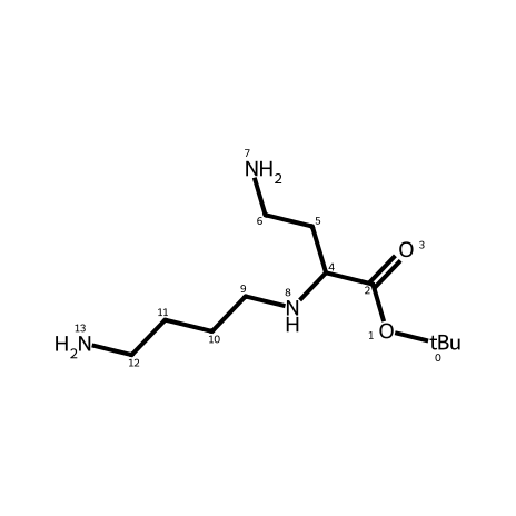 CC(C)(C)OC(=O)C(CCN)NCCCCN